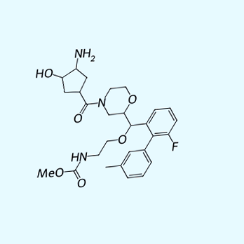 COC(=O)NCCOC(c1cccc(F)c1-c1cccc(C)c1)C1CN(C(=O)C2CC(N)C(O)C2)CCO1